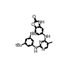 Cc1cnc(Nc2cc(C(C)(C)C)cc(C(C)(C)C)c2)nc1Nc1ccc2oc(=O)[nH]c2c1